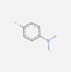 [CH2]N(C)c1ccc(F)cc1